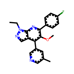 CCn1ncc2c(-c3cncc(C)c3)c(OC)c(-c3ccc(F)cc3)nc21